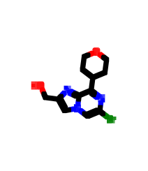 OCc1cn2cc(Br)nc(C3CCOCC3)c2n1